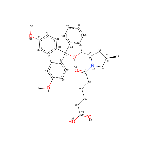 COc1ccc(C(OC[C@@H]2C[C@@H](C)CN2C(=O)CCCCC(=O)O)(c2ccccc2)c2ccc(OC)cc2)cc1